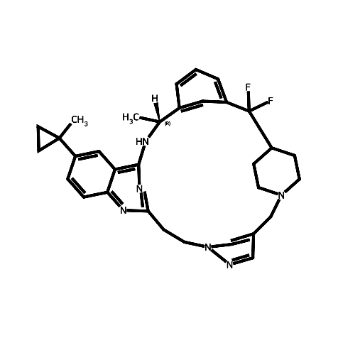 C[C@H]1Nc2nc(nc3ccc(C4(C)CC4)cc23)CCn2cc(cn2)CN2CCC(CC2)C(F)(F)c2cccc1c2